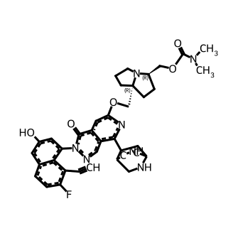 C#Cc1c(F)ccc2cc(O)cc(-n3ncc4c(C5CC6CNCC5CN6)nc(OC[C@]56CCCN5[C@@H](COC(=O)N(C)C)CC6)cc4c3=O)c12